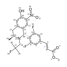 COC(=O)/C=C/c1cc(F)c([C@H]2c3cc([N+](=O)[O-])c(O)cc3C[C@H](C)N2CC(C)(C)F)c(F)c1